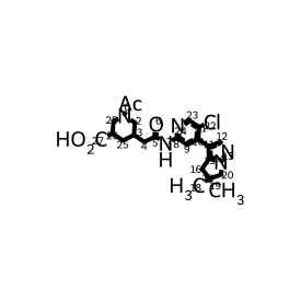 CC(=O)N1CC(CC(=O)Nc2cc(-c3cnn4c3CC(C)(C)C4)c(Cl)cn2)CC(C(=O)O)C1